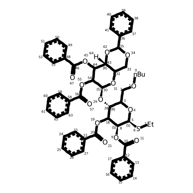 CCCCOCC1O[C@@H](SCC)[C@@H](OC(=O)c2ccccc2)C(OC(=O)c2ccccc2)[C@@H]1O[C@@H]1OC2COC(c3ccccc3)O[C@H]2C(OC(=O)c2ccccc2)C1OC(=O)c1ccccc1